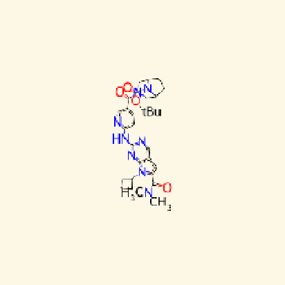 CN(C)C(=O)c1cc2cnc(Nc3ccc(C(=O)N4CC5CCC(C4)N5C(=O)OC(C)(C)C)cn3)nc2n1C1CCC1